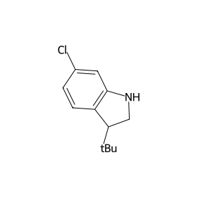 CC(C)(C)C1CNc2cc(Cl)ccc21